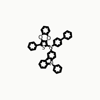 c1ccc(-c2ccc(N(c3ccc4c(c3)c3ccccc3n4-c3ccccc3)c3sc(-c4ccccc4)c4c3Oc3ccccc3O4)cc2)cc1